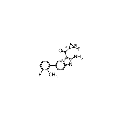 Cc1c(F)cccc1-c1ccc2nc(N)c(C(=O)[C@H]3C[C@H]3F)n2c1